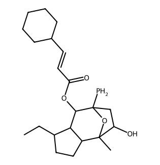 CCC1CCC2C1C(OC(=O)/C=C/C1CCCCC1)C1(P)CC(O)C2(C)O1